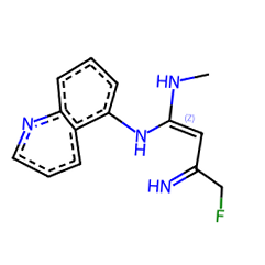 CN/C(=C/C(=N)CF)Nc1cccc2ncccc12